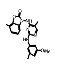 COc1cc(C)cc(Nc2ncc(C)c(Nn3c(=O)oc4c(C)cccc43)n2)c1